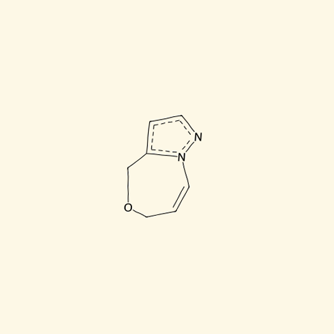 C1=Cn2nccc2COC1